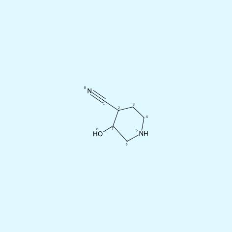 N#CC1CCNCC1O